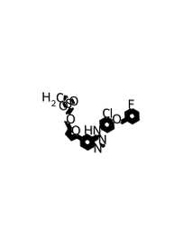 C=CS(=O)(=O)CCOCc1ccc(-c2ccc3ncnc(Nc4ccc(OCc5cccc(F)c5)c(Cl)c4)c3c2)o1